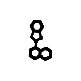 c1ccc2c(c1)CN(c1cccc3ccccc13)O2